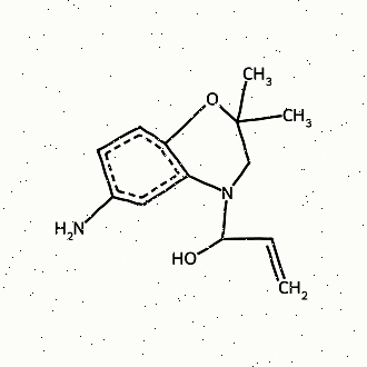 C=CC(O)N1CC(C)(C)Oc2ccc(N)cc21